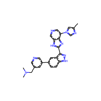 Cc1cn(-c2cncc3[nH]c(-c4n[nH]c5ccc(-c6cncc(CN(C)C)c6)cc45)nc23)cn1